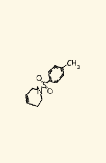 Cc1ccc(S(=O)(=O)N2CC=CCC2)cc1